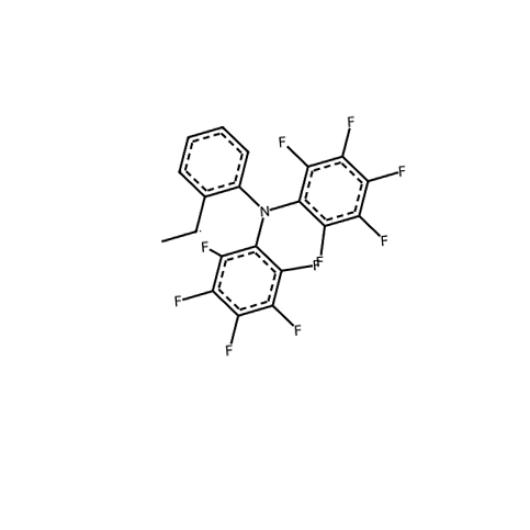 C[CH]c1ccccc1N(c1c(F)c(F)c(F)c(F)c1F)c1c(F)c(F)c(F)c(F)c1F